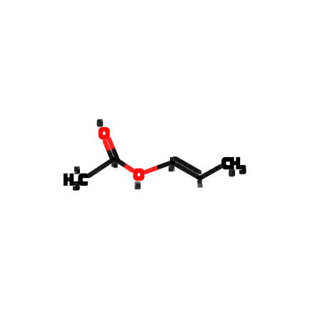 C/C=[C]/OC(C)=O